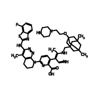 C/C(NCC12CC3(C)CC(C)(C1)CC(OCCN1CCNCC1)(C3)C2)=C(/C=N)c1ccc(N2CCCc3c2nnc(Nc2nc4cccc(F)c4s2)c3C)nc1C(=O)O